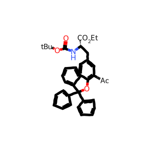 CCOC(=O)[C@H](Cc1ccc(OC(c2ccccc2)(c2ccccc2)c2ccccc2)c(C(C)=O)c1)NC(=O)OC(C)(C)C